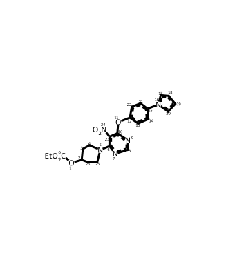 CCOC(=O)OC1CCN(c2ncnc(Oc3ccc(-n4cccc4)cc3)c2[N+](=O)[O-])CC1